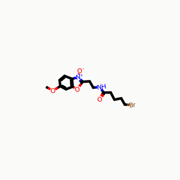 COc1ccc2c(c1)oc(CCNC(=O)CCCCBr)[n+]2[O-]